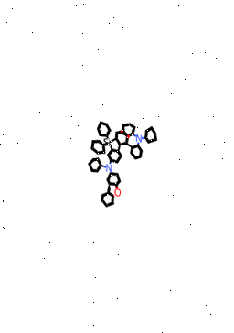 c1ccc(N(c2ccc3c(c2)[Si](c2ccccc2)(c2ccccc2)c2cccc(-c4ccccc4N(c4ccccc4)c4ccccc4)c2-3)c2ccc3oc4ccccc4c3c2)cc1